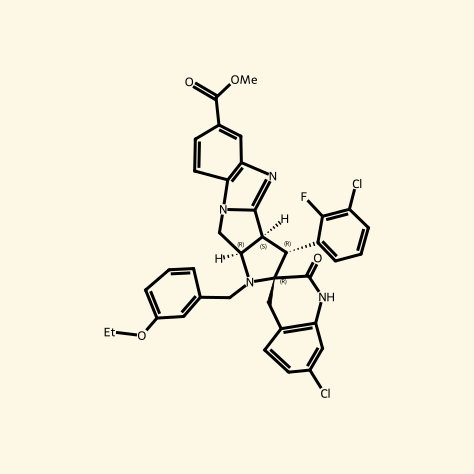 CCOc1cccc(CN2[C@H]3Cn4c(nc5cc(C(=O)OC)ccc54)[C@H]3[C@H](c3cccc(Cl)c3F)[C@@]23Cc2ccc(Cl)cc2NC3=O)c1